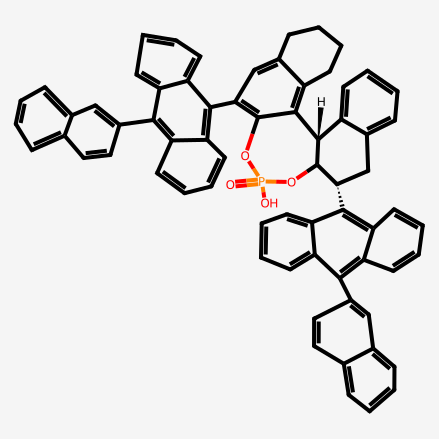 O=P1(O)Oc2c(-c3c4ccccc4c(-c4ccc5ccccc5c4)c4ccccc34)cc3c(c2[C@@H]2c4ccccc4C[C@H](c4c5ccccc5c(-c5ccc6ccccc6c5)c5ccccc45)C2O1)CCCC3